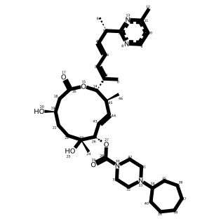 C/C(=C\C=C\[C@H](C)c1nccc(C)n1)[C@H]1OC(=O)C[C@H](O)CC[C@@](C)(O)[C@@H](OC(=O)N2CCN(C3CCCCCC3)CC2)/C=C/[C@@H]1C